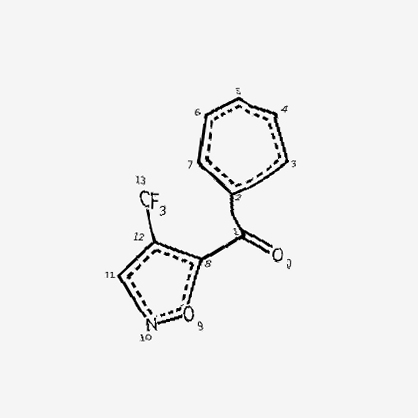 O=C(c1ccccc1)c1oncc1C(F)(F)F